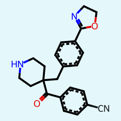 N#Cc1ccc(C(=O)C2(Cc3ccc(C4=NCCO4)cc3)CCNCC2)cc1